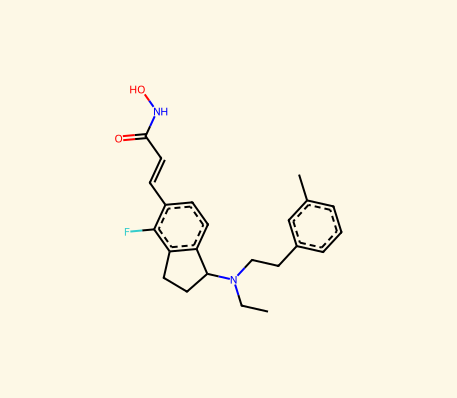 CCN(CCc1cccc(C)c1)C1CCc2c1ccc(C=CC(=O)NO)c2F